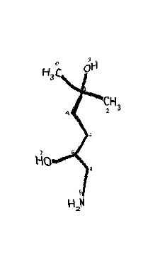 CC(C)(O)CCC(O)CN